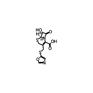 O=C(O)C1=C(CSc2cnco2)CS[C@H]2[C@H](O)C(=O)N12